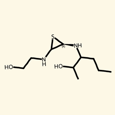 CCCC(N[C@@H]1SC1NCCO)C(C)O